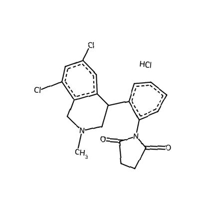 CN1Cc2c(Cl)cc(Cl)cc2C(c2ccccc2N2C(=O)CCC2=O)C1.Cl